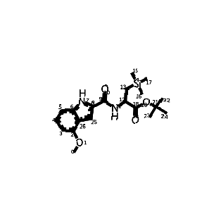 COc1cccc2[nH]c(C(=O)NC(C[Si](C)(C)C)C(=O)OC(C)(C)C)cc12